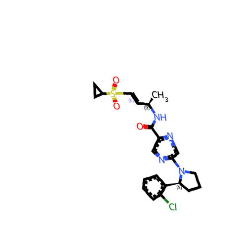 C[C@H](/C=C/S(=O)(=O)C1CC1)NC(=O)c1cnc(N2CCC[C@H]2c2ccccc2Cl)cn1